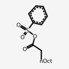 CCCCCCCCCC(=O)OS(=O)(=O)c1ccccc1